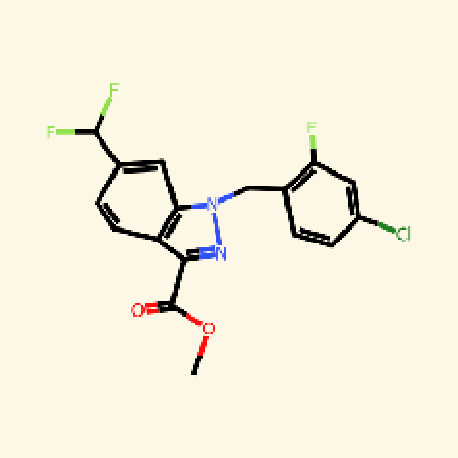 COC(=O)c1nn(Cc2ccc(Cl)cc2F)c2cc(C(F)F)ccc12